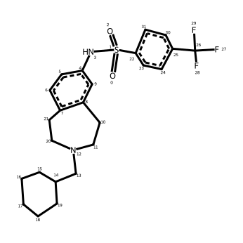 O=S(=O)(Nc1ccc2c(c1)CCN(CC1CCCCC1)CC2)c1ccc(C(F)(F)F)cc1